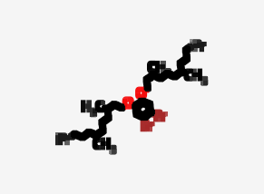 CC(C)CCCC(C)CCCC(C)CCOc1cc(Br)c(Br)cc1OCCC(C)CCCC(C)CCCC(C)C